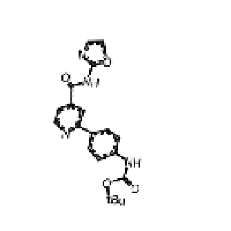 CC(C)(C)OC(=O)Nc1ccc(-c2cc(C(=O)Nc3ncco3)ccn2)cc1